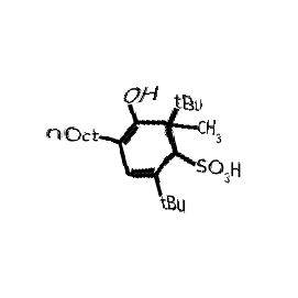 CCCCCCCCC1=C(O)C(C)(C(C)(C)C)C(S(=O)(=O)O)C(C(C)(C)C)=C1